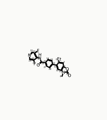 CCc1cc2oc(=O)n(C)c2cc1-c1ccc(C(=O)Nc2c(F)cncc2F)cc1